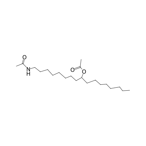 CCCCCCCCC(CCCCCCCCNC(C)=O)OC(C)=O